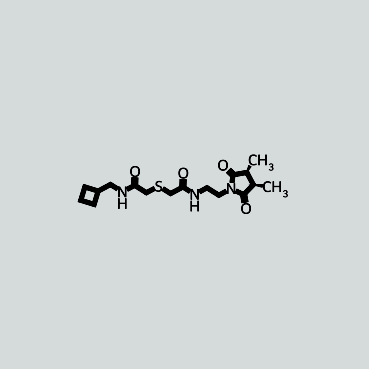 C[C@@H]1C(=O)N(CCNC(=O)CSCC(=O)NCC2CCC2)C(=O)[C@@H]1C